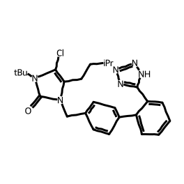 CC(C)CCc1c(Cl)n(C(C)(C)C)c(=O)n1Cc1ccc(-c2ccccc2-c2nnn[nH]2)cc1